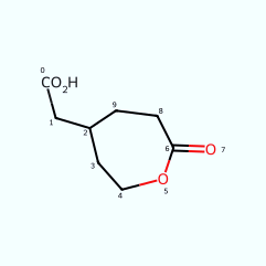 O=C(O)CC1CCOC(=O)CC1